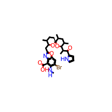 CNc1c(Br)cc2oc(CC3O[C@@]4(CCC3C)OC(C(C)C(=O)c3ccc[nH]3)C(C)CC4C)nc2c1C(=O)O